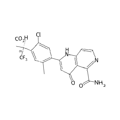 Cc1cc([C@@](C)(C(=O)O)C(F)(F)F)c(Cl)cc1-c1cc(=O)c2c(C(N)=O)nccc2[nH]1